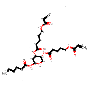 C=CC(=O)OCCCCC(=O)O[C@@H]1COC(OC(=O)CCCCOC(C)=O)C[C@H]1OC(=O)CCCCOC(=O)C=C